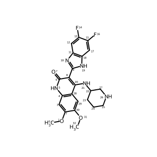 COc1cc2[nH]c(=O)c(-c3nc4cc(F)c(F)cc4[nH]3)c(NC3CCCNC3)c2cc1OC